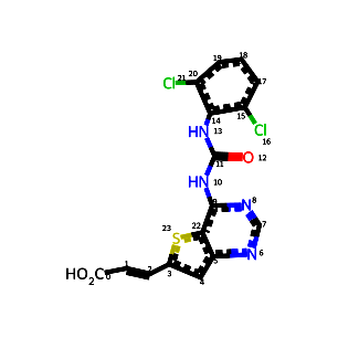 O=C(O)C=Cc1cc2ncnc(NC(=O)Nc3c(Cl)cccc3Cl)c2s1